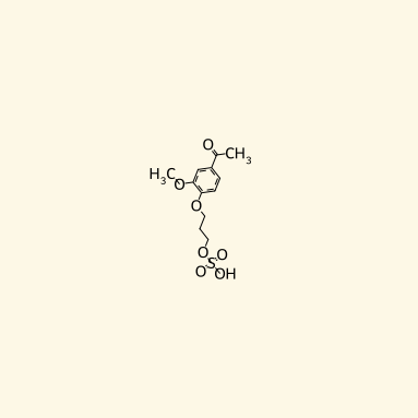 COc1cc(C(C)=O)ccc1OCCCOS(=O)(=O)O